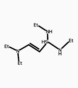 CCN[SiH](C=CN(CC)CC)NCC